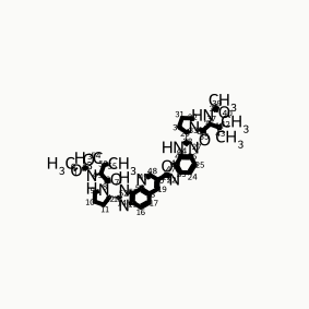 COC(=O)N[C@H](C(=O)N1CCC[C@H]1c1nc2ccc3cc(-c4nc5ccc6nc([C@@H]7CCCN7C(=O)[C@@H](NC(C)=O)C(C)C)[nH]c6c5o4)cnc3c2[nH]1)C(C)C